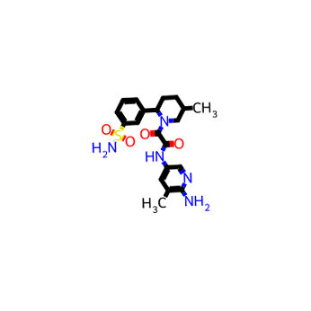 Cc1cc(NC(=O)C(=O)N2CC(C)CCC2c2cccc(S(N)(=O)=O)c2)cnc1N